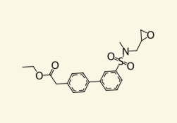 CCOC(=O)Cc1ccc(-c2cccc(S(=O)(=O)N(C)CC3CO3)c2)cc1